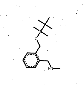 CNCc1ccccc1CO[Si](C)(C)C(C)(C)C